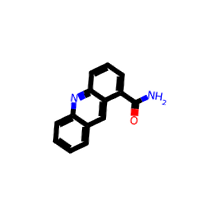 NC(=O)c1cccc2nc3ccccc3cc12